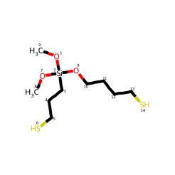 CO[Si](CCCS)(OC)OCCCCS